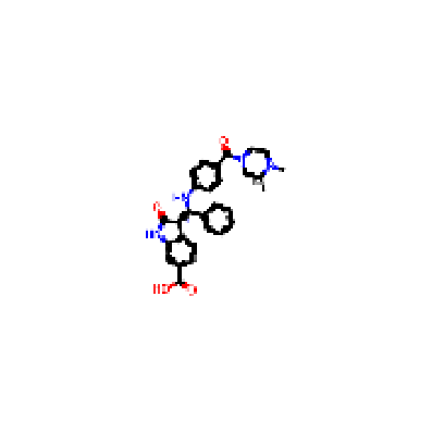 C[C@H]1CN(C(=O)c2ccc(N/C(=C3\C(=O)Nc4cc(C(=O)O)ccc43)c3ccccc3)cc2)CCN1C